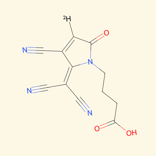 [2H]C1=C(C#N)C(=C(C#N)C#N)N(CCCC(=O)O)C1=O